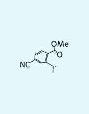 C=[C]c1cc(C#N)ccc1C(=O)OC